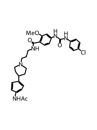 COc1cc(NC(=O)Nc2ccc(Cl)cc2)ccc1C(=O)NCCCN1CCC(c2ccc(NC(C)=O)cc2)CC1